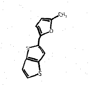 Cc1ccc(-c2cc3sccc3s2)o1